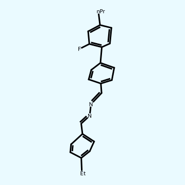 CCCc1ccc(-c2ccc(C=NN=Cc3ccc(CC)cc3)cc2)c(F)c1